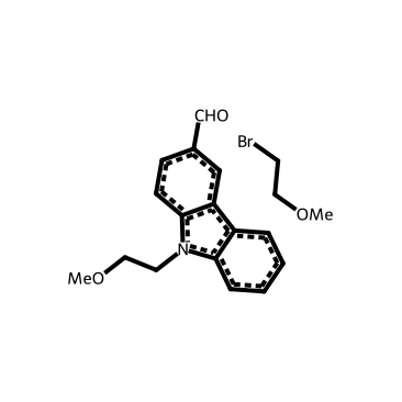 COCCBr.COCCn1c2ccccc2c2cc(C=O)ccc21